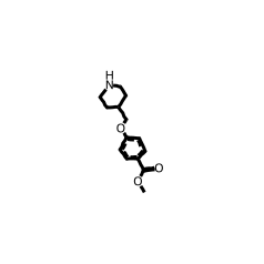 COC(=O)c1ccc(OCC2CCNCC2)cc1